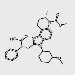 COC(=O)N1c2ccc3c(nc(C[C@@H](C(=O)O)c4ccccc4)n3[C@@H]3CCC[C@H](OC)C3)c2CC[C@@H]1C